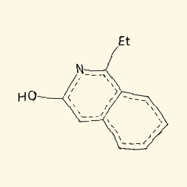 CCc1nc(O)cc2ccccc12